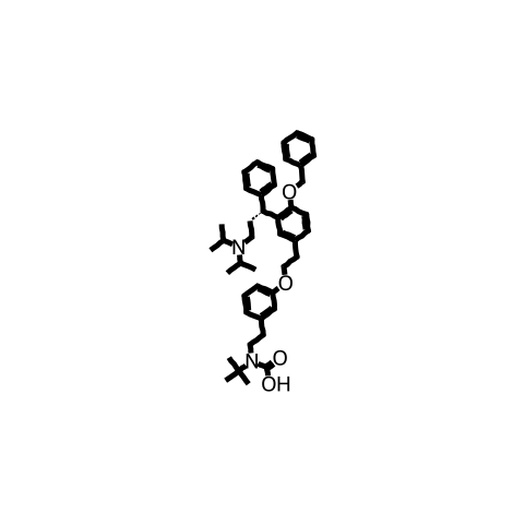 CC(C)N(CC[C@H](c1ccccc1)c1cc(CCOc2cccc(CCN(C(=O)O)C(C)(C)C)c2)ccc1OCc1ccccc1)C(C)C